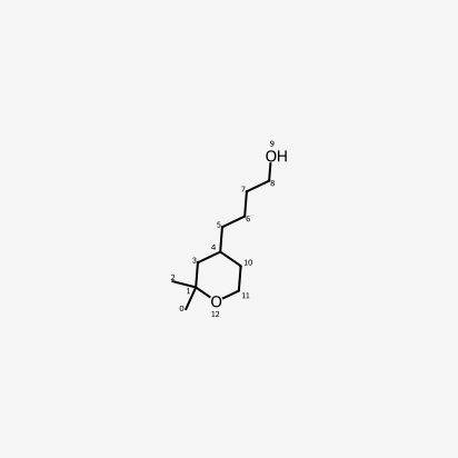 CC1(C)CC(CCCCO)CCO1